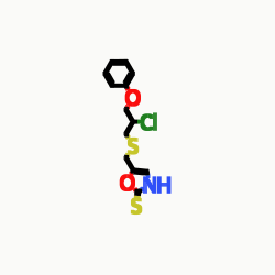 S=c1[nH]cc(CSCC(Cl)COc2ccccc2)o1